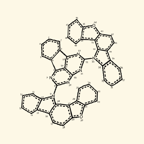 c1ccc2c(c1)-c1nc(-n3c4ccccc4c4ccc5oc6ccccc6c5c43)nc3nc(-n4c5ccccc5c5ccc6oc7ccccc7c6c54)nc-2c13